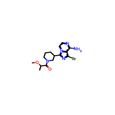 COC(C)C(=O)N1CCCC(c2nc(Br)c3c(N)nccn23)C1